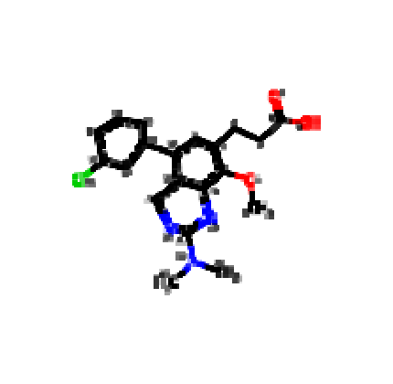 COc1c(CCC(=O)O)cc(-c2cccc(Cl)c2)c2cnc(N(C)C)nc12